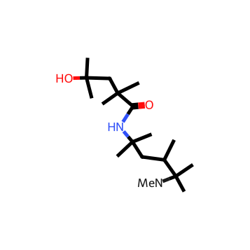 CNC(C)(C)C(C)CC(C)(C)NC(=O)C(C)(C)CC(C)(C)O